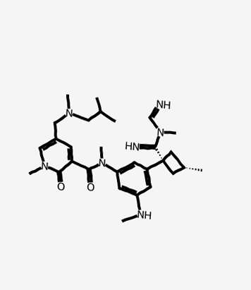 CNc1cc(N(C)C(=O)c2cc(CN(C)CC(C)C)cn(C)c2=O)cc([C@]2(C(=N)N(C)C=N)C[C@@H](C)C2)c1